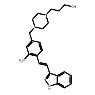 Nc1cc(CN2CCN(CCCO)CC2)ccc1C=Cc1n[nH]c2ccccc12